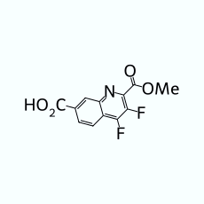 COC(=O)c1nc2cc(C(=O)O)ccc2c(F)c1F